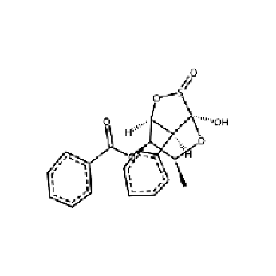 C[C@@H]1O[C@@]2(O)[C@@H](c3ccccc3)[C@H](OS2=O)[C@@H]1OC(=O)c1ccccc1